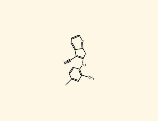 Cc1cc(I)ccc1Nc1sc2ncccc2c1C#N